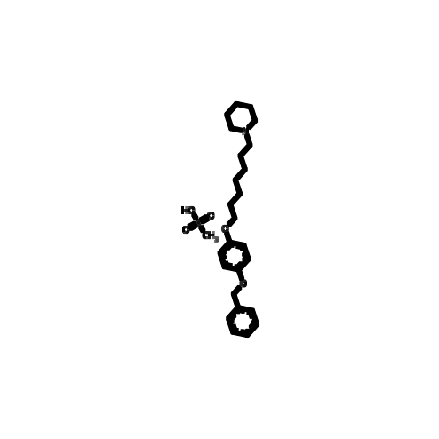 CS(=O)(=O)O.c1ccc(COc2ccc(OCCCCCCCN3CCCCC3)cc2)cc1